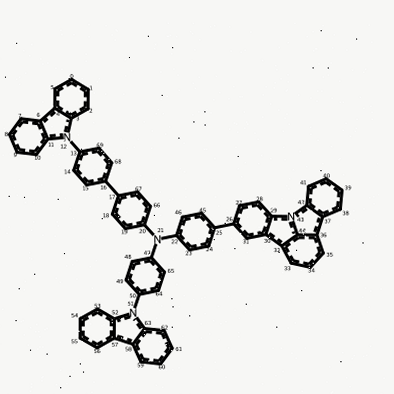 c1ccc2c(c1)c1ccccc1n2-c1ccc(-c2ccc(N(c3ccc(-c4ccc5c(c4)c4cccc6c7ccccc7n5c64)cc3)c3ccc(-n4c5ccccc5c5ccccc54)cc3)cc2)cc1